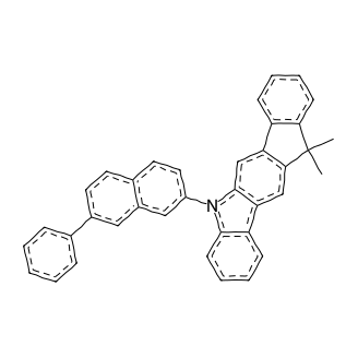 CC1(C)c2ccccc2-c2cc3c(cc21)c1ccccc1n3-c1ccc2ccc(-c3ccccc3)cc2c1